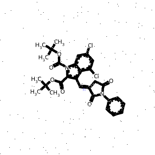 CC(C)(C)OC(=O)c1c(/C=C2\CC(=O)N(c3ccccc3)C2=O)c2c(Cl)cc(Cl)cc2n1C(=O)OC(C)(C)C